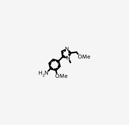 COCc1ncc(-c2ccc(N)c(OC)c2)n1C